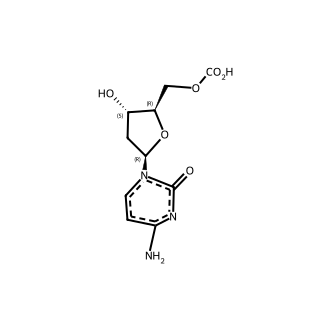 Nc1ccn([C@H]2C[C@H](O)[C@@H](COC(=O)O)O2)c(=O)n1